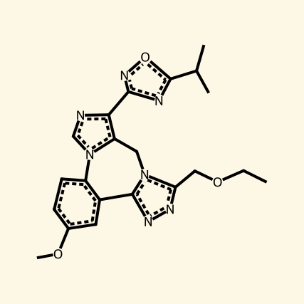 CCOCc1nnc2n1Cc1c(-c3noc(C(C)C)n3)ncn1-c1ccc(OC)cc1-2